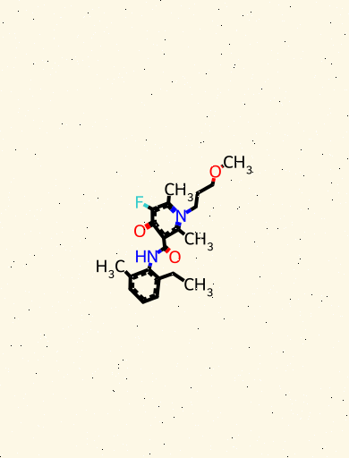 CCc1cccc(C)c1NC(=O)c1c(C)n(CCCOC)c(C)c(F)c1=O